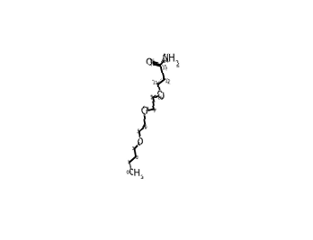 CCCCOCCOCCOCCC(N)=O